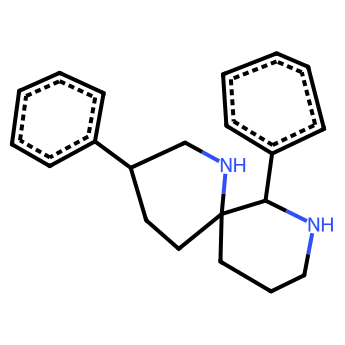 c1ccc(C2CCC3(CCCNC3c3ccccc3)NC2)cc1